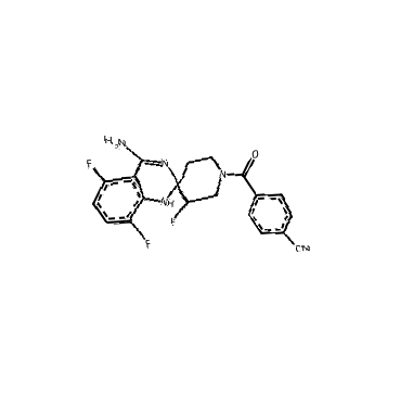 N#Cc1ccc(C(=O)N2CCC3(N=C(N)c4c(F)ccc(F)c4N3)C(F)C2)cc1